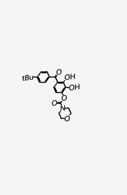 CC(C)(C)c1ccc(C(=O)c2ccc(OC(=O)N3CCOCC3)c(O)c2O)cc1